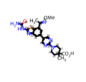 CO/N=C(\C)c1cc(-c2cnc(N3CCC(C)(C(=O)O)CC3)nc2)cc2nc(NC(N)=O)sc12